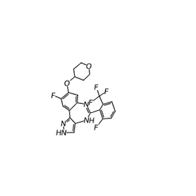 Fc1cc2c(cc1OC1CCOCC1)N=C(c1c(F)cccc1C(F)(F)F)Nc1c[nH]nc1-2